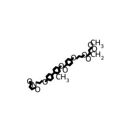 C=C(CC(=O)OC)C(=O)OCCCOc1ccc(C(=O)Oc2ccc(-c3ccc(OCCCN4C(=O)C=CC4=O)cc3)c(C)c2)cc1